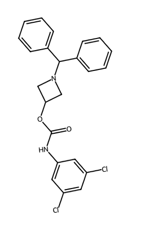 O=C(Nc1cc(Cl)cc(Cl)c1)OC1CN(C(c2ccccc2)c2ccccc2)C1